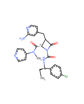 CC[C@@H](NC(=O)N1C(=O)C(Cc2ccnc(N)c2)[C@H]1C(=O)N(C)c1ccncc1)c1ccc(Cl)cc1